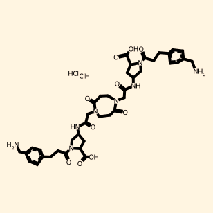 Cl.Cl.NCc1ccc(CCC(=O)N2CC(NC(=O)CN3CCC(=O)N(CC(=O)NC4CC(C(=O)O)N(C(=O)CCc5ccc(CN)cc5)C4)CCC3=O)CC2C(=O)O)cc1